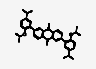 CC(C)Oc1ccc(C(C)C)cc1-c1ccc2c(c1)N(C)c1ccc(-c3cc(C(C)C)ccc3OC(C)C)cc1N2C